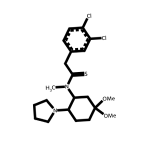 COC1(OC)CCC(N2CCCC2)C(N(C)C(=S)Cc2ccc(Cl)c(Cl)c2)C1